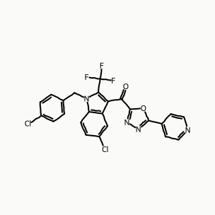 O=C(c1nnc(-c2ccncc2)o1)c1c(C(F)(F)F)n(Cc2ccc(Cl)cc2)c2ccc(Cl)cc12